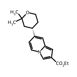 CCOC(=O)c1cc2cc([C@H]3CCOC(C)(C)C3)ccn2c1